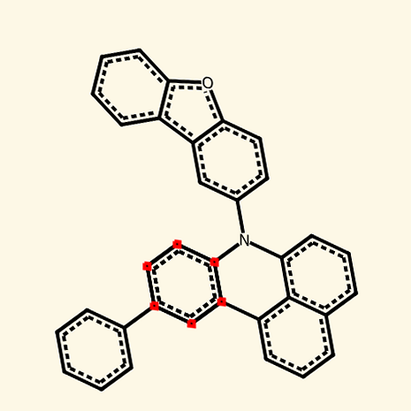 c1ccc(-c2ccc(N(c3ccc4oc5ccccc5c4c3)c3cccc4cccc(-c5ccccc5)c34)cc2)cc1